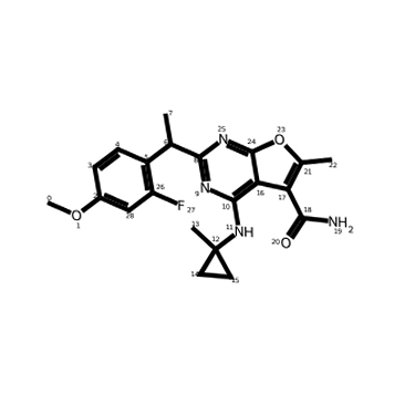 COc1ccc(C(C)c2nc(NC3(C)CC3)c3c(C(N)=O)c(C)oc3n2)c(F)c1